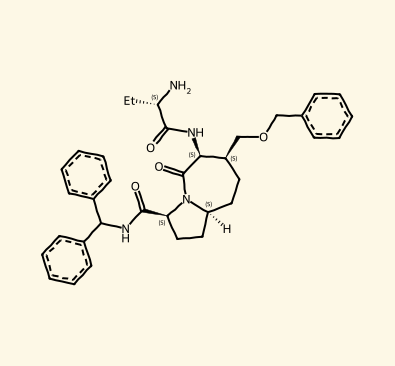 CC[C@H](N)C(=O)N[C@@H]1C(=O)N2[C@@H](CC[C@@H]1COCc1ccccc1)CC[C@H]2C(=O)NC(c1ccccc1)c1ccccc1